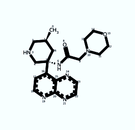 C[C@@H]1CNC[C@](NC(=O)CN2CCOCC2)(c2ccnc3nccnc23)C1